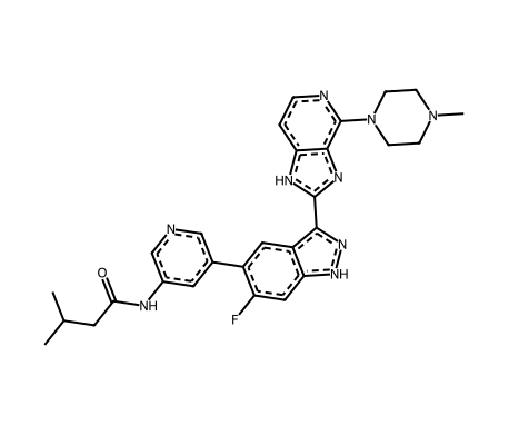 CC(C)CC(=O)Nc1cncc(-c2cc3c(-c4nc5c(N6CCN(C)CC6)nccc5[nH]4)n[nH]c3cc2F)c1